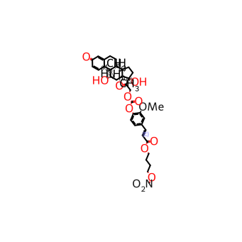 COc1cc(/C=C/C(=O)OCCCCO[N+](=O)[O-])ccc1OC(=O)OCC(=O)[C@@]1(O)CC[C@H]2[C@@H]3CCC4=CC(=O)C=C[C@]4(C)[C@H]3[C@@H](O)C[C@@]21C